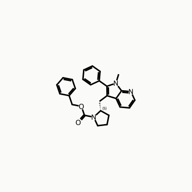 Cn1c(-c2ccccc2)c(C[C@@H]2CCCN2C(=O)OCc2ccccc2)c2cccnc21